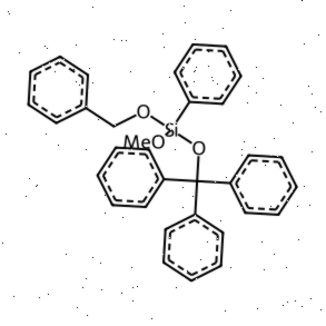 CO[Si](OCc1ccccc1)(OC(c1ccccc1)(c1ccccc1)c1ccccc1)c1ccccc1